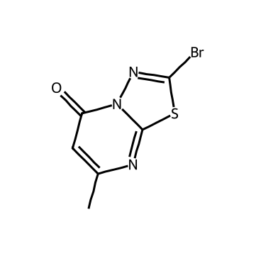 Cc1cc(=O)n2nc(Br)sc2n1